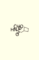 O=[C]NS(=O)(=O)CC1CCC1